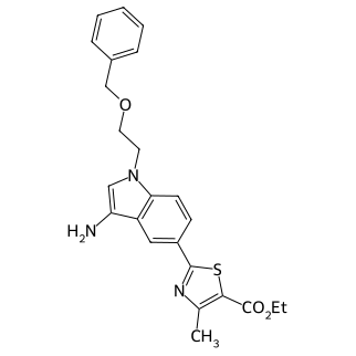 CCOC(=O)c1sc(-c2ccc3c(c2)c(N)cn3CCOCc2ccccc2)nc1C